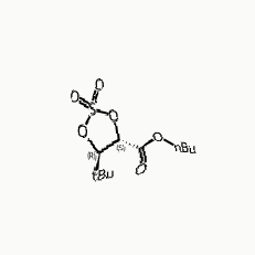 CCCCOC(=O)[C@H]1OS(=O)(=O)O[C@@H]1C(C)(C)C